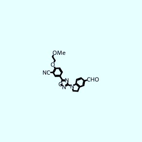 COCCOc1ccc(-c2nc(N3CCc4cc(C=O)ccc43)no2)cc1C#N